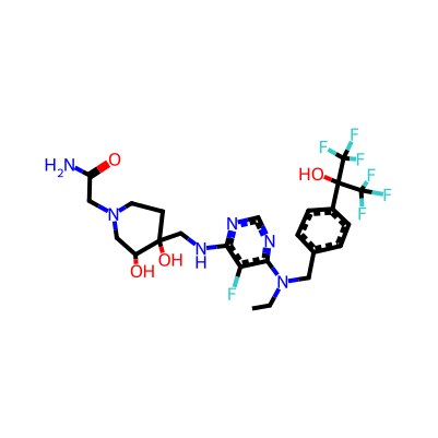 CCN(Cc1ccc(C(O)(C(F)(F)F)C(F)(F)F)cc1)c1ncnc(NCC2(O)CCN(CC(N)=O)CC2O)c1F